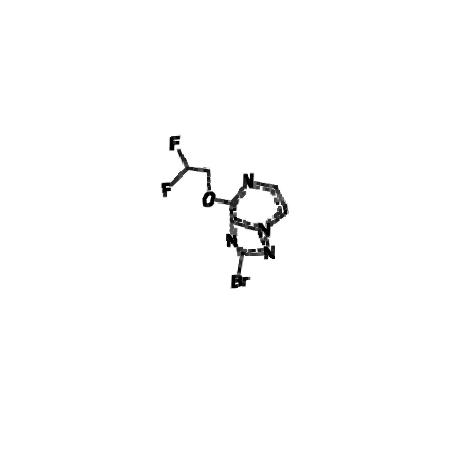 FC(F)COc1nccn2nc(Br)nc12